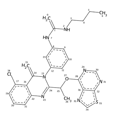 C=C(NCCCC)Nc1cccc(N2C(=C)c3c(Cl)cccc3N=C2C(C)Oc2ncnc3scnc23)c1